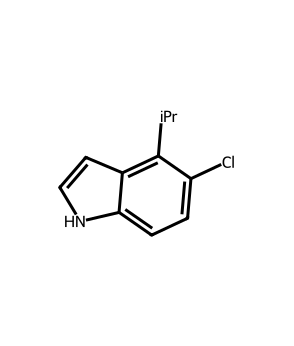 CC(C)c1c(Cl)ccc2[nH]ccc12